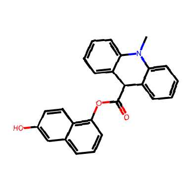 CN1c2ccccc2C(C(=O)Oc2cccc3cc(O)ccc23)c2ccccc21